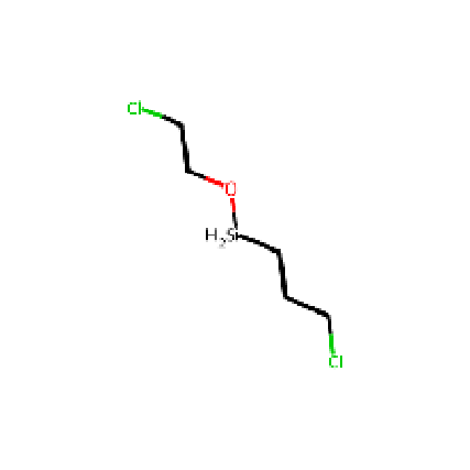 ClCCC[SiH2]OCCCl